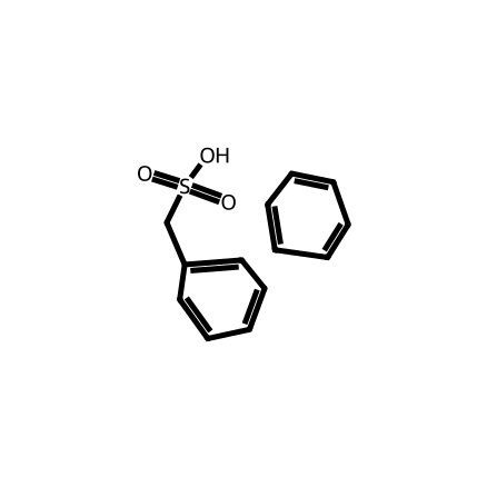 O=S(=O)(O)Cc1ccccc1.c1ccccc1